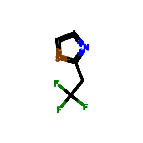 FC(F)(F)Cc1n[c]cs1